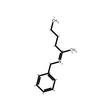 CCCCC(C)=NCc1ccccc1